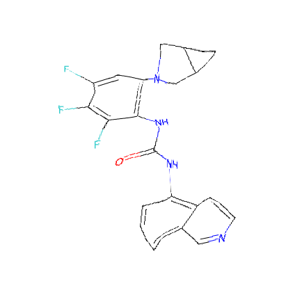 O=C(Nc1c(N2CC3CC3C2)cc(F)c(F)c1F)Nc1cccc2cnccc12